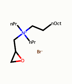 CCCCCCCCCC[N+](CCC)(CCC)CC1CO1.[Br-]